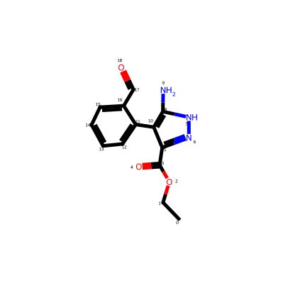 CCOC(=O)c1n[nH]c(N)c1-c1ccccc1C=O